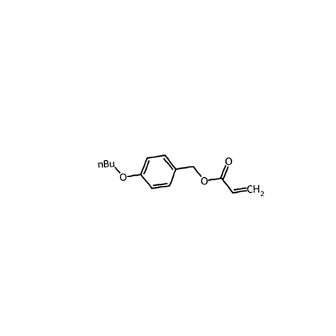 C=CC(=O)OCc1ccc(OCCCC)cc1